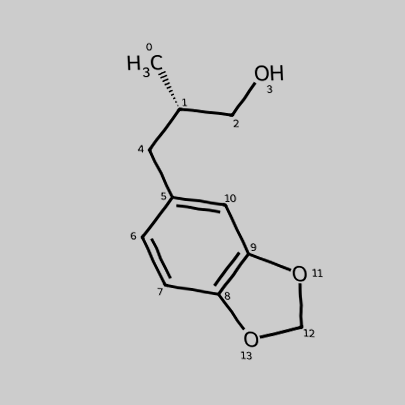 C[C@H](CO)Cc1ccc2c(c1)OCO2